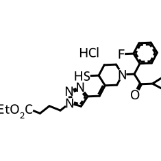 CCOC(=O)CCCn1cc(C=C2CN(C(C(=O)C3CC3)c3ccccc3F)CCC2S)nn1.Cl